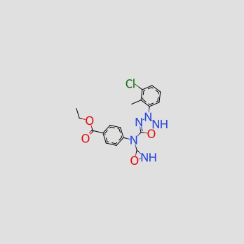 CCOC(=O)c1ccc(N(C2=NN(c3cccc(Cl)c3C)NO2)C2NO2)cc1